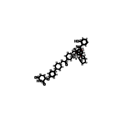 Nc1nnc(-c2ccccc2O)cc1N1CC2CCC(C1)N2c1cccc(CN2CCN(C(=O)CN3CCC(c4ccc(OC5CCC(=O)NC5=O)cc4)CC3)CC2)c1